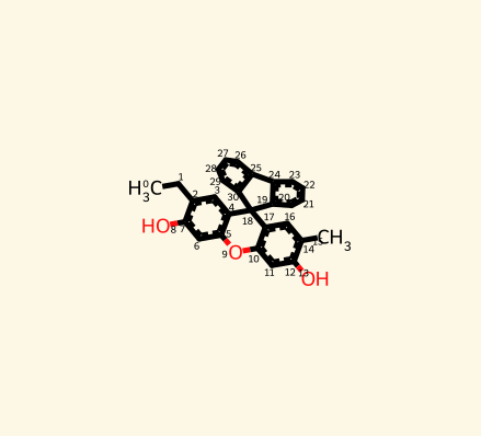 CCc1cc2c(cc1O)Oc1cc(O)c(C)cc1C21c2ccccc2-c2ccccc21